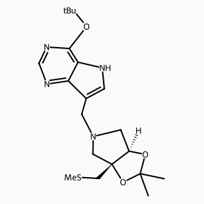 CSC[C@@]12CN(Cc3c[nH]c4c(OC(C)(C)C)ncnc34)C[C@H]1OC(C)(C)O2